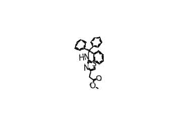 COC(=O)Cc1csc(NC(c2ccccc2)(c2ccccc2)c2ccccc2)n1